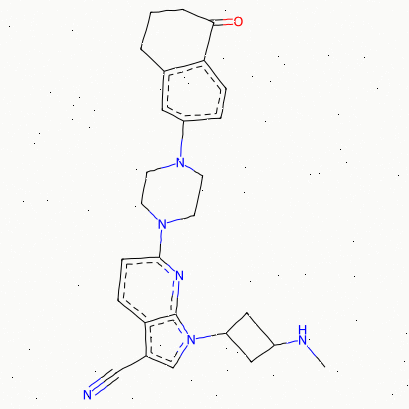 CNC1CC(n2cc(C#N)c3ccc(N4CCN(c5ccc6c(c5)CCCC6=O)CC4)nc32)C1